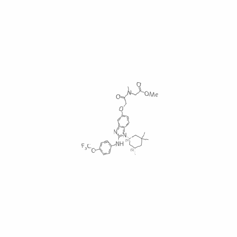 COC(=O)CN(C)C(=O)COc1ccc2c(c1)nc(Nc1ccc(OC(F)(F)F)cc1)n2[C@H]1C[C@@H](C)CC(C)(C)C1